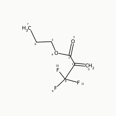 C=C(C(=O)OCCC)C(F)(F)F